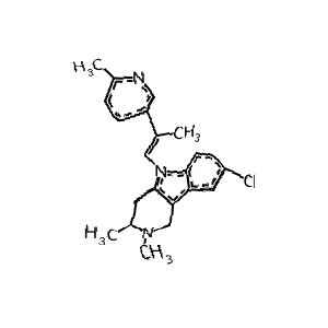 CC(=Cn1c2c(c3cc(Cl)ccc31)CN(C)C(C)C2)c1ccc(C)nc1